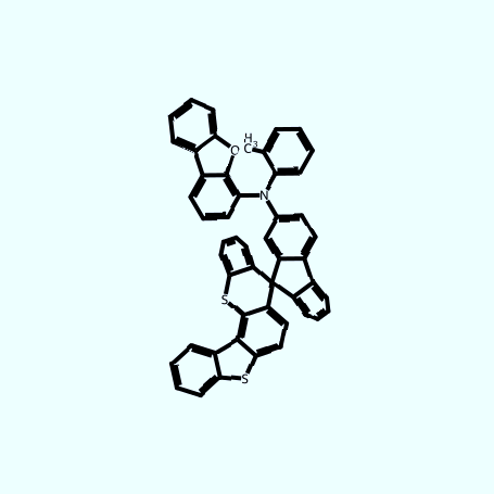 Cc1ccccc1N(c1ccc2c(c1)C1(c3ccccc3Sc3c1ccc1sc4ccccc4c31)c1ccccc1-2)c1cccc2c1oc1ccccc12